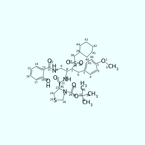 COc1ccc(CC(C(CNC(=O)c2ccccc2O)NC(=O)[C@@H]2CSCN2C(=O)OC(C)(C)C)S(=O)(=O)CC2CCCCC2)cc1